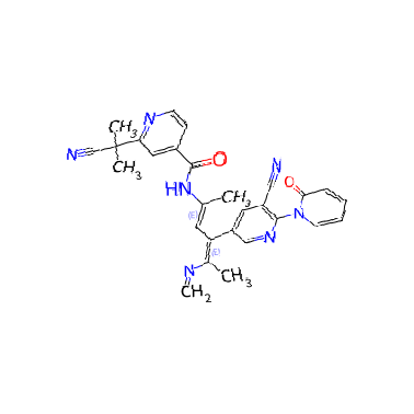 C=N/C(C)=C(\C=C(/C)NC(=O)c1ccnc(C(C)(C)C#N)c1)c1cnc(-n2ccccc2=O)c(C#N)c1